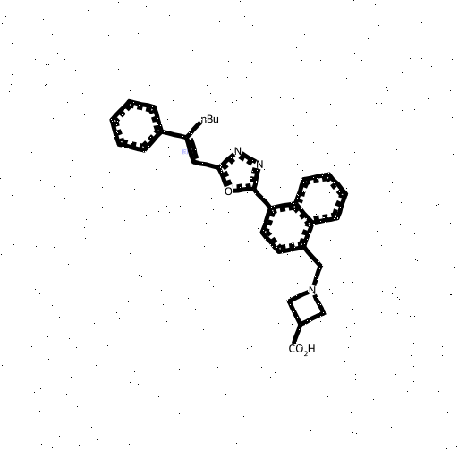 CCCC/C(=C\c1nnc(-c2ccc(CN3CC(C(=O)O)C3)c3ccccc23)o1)c1ccccc1